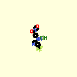 Cl.O=C(c1ccc(Nc2ccnc3cc(C(F)(F)F)ccc23)cc1)N1CCOCC1